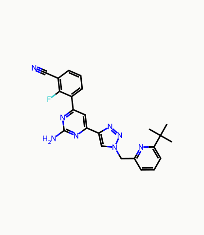 CC(C)(C)c1cccc(Cn2cc(-c3cc(-c4cccc(C#N)c4F)nc(N)n3)nn2)n1